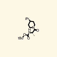 CC(C)C1CCN(C(=O)[C@H](C)NC(=O)OC(C)(C)C)CC1